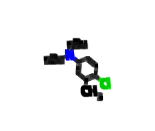 CCCCN(CCCC)c1ccc(Cl)c(C)c1